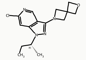 CC[C@@H](C)n1nc(N2CC3(COC3)C2)c2cnc(Cl)cc21